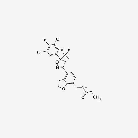 CCC(=O)NCc1ccc(C2=NOC(c3cc(Cl)c(F)c(Cl)c3)(C(F)(F)F)C2)c2c1OCC2